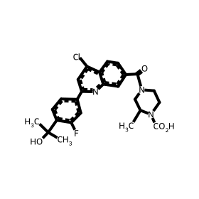 CC1CN(C(=O)c2ccc3c(Cl)cc(-c4ccc(C(C)(C)O)c(F)c4)nc3c2)CCN1C(=O)O